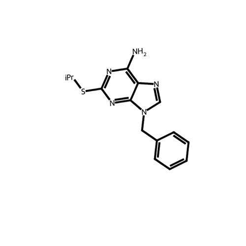 CC(C)Sc1nc(N)c2ncn(Cc3ccccc3)c2n1